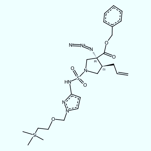 C=CC[C@H]1CN(S(=O)(=O)Nc2ccn(COCC[Si](C)(C)C)n2)C[C@@]1(N=[N+]=[N-])C(=O)OCc1ccccc1